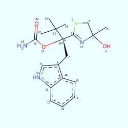 CC1(O)CSC([C@](Cc2c[nH]c3ccccc23)(OC(N)=O)C(C)(C)C)=N1